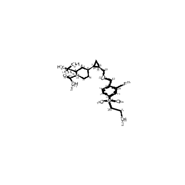 CC(C)(C)C1CC([C@H]2C[C@H]2COCc2ccc(S(=O)(=O)CCO)cc2F)CCN1C(=O)O